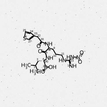 CC(C)C[C@H](NC(=O)[C@H](CCCNC(=N)N[N+](=O)[O-])NC(=O)Cc1ccsc1)B(O)O